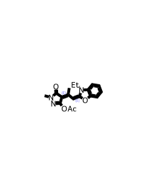 CCN1/C(=C\C(C)=C2\C(=O)N(C)N=C2OC(C)=O)Oc2ccccc21